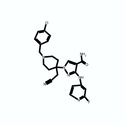 N#CCC1(n2cc(C(N)=O)c(Nc3ccnc(F)c3)n2)CCN(Cc2ccc(Cl)cc2)CC1